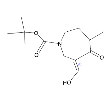 CC1CCN(C(=O)OC(C)(C)C)C/C(=C\O)C1=O